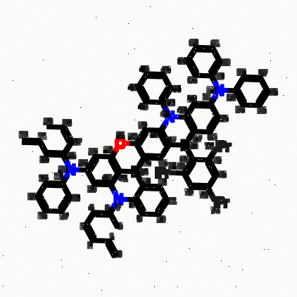 C=C/C=C\C=C(/C)N1c2ccccc2B2c3cc4c(cc3Oc3cc(N(C(/C=C\C)=C/C=C)c5ccccc5)cc1c32)N(c1ccccc1)c1cc(N(c2ccccc2)c2ccccc2)ccc1B4c1c(C(C)C)cc(C(C)C)cc1C(C)C